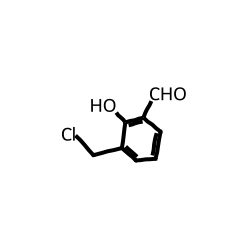 O=Cc1cccc(CCl)c1O